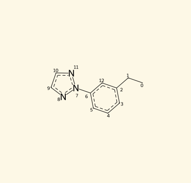 CCc1cccc(-n2nccn2)c1